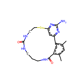 Cc1cc(C)c2cc1C(=O)NCCCNC(=O)NCCSc1cc-2nc(N)n1